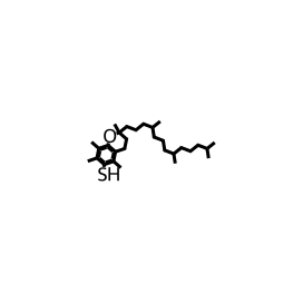 Cc1c(C)c2c(c(C)c1S)CCC(C)(CCCC(C)CCCC(C)CCCC(C)C)O2